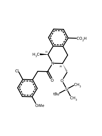 COc1ccc(Cl)c(CC(=O)N2[C@@H](CO[Si](C)(C)C(C)(C)C)Cc3c(C(=O)O)cccc3[C@@H]2C)c1